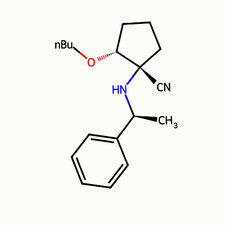 CCCCO[C@@H]1CCC[C@]1(C#N)N[C@@H](C)c1ccccc1